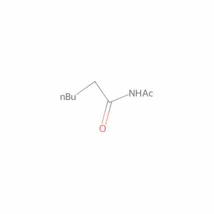 CCCCCC(=O)NC(C)=O